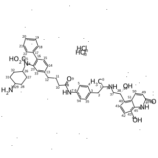 CC(Cc1ccc(NC(=O)CCCc2ccc(-c3ccccc3)c(N(C(=O)O)C3CCC(N)CC3)c2)cc1)NC[C@H](O)c1ccc(O)c2[nH]c(=O)ccc12.Cl.Cl